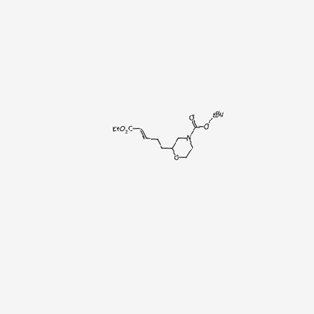 CCOC(=O)/C=C/CCC1CN(C(=O)OC(C)(C)C)CCO1